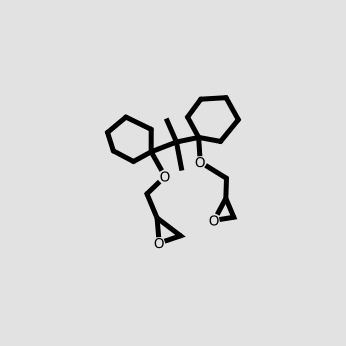 CC(C)(C1(OCC2CO2)CCCCC1)C1(OCC2CO2)CCCCC1